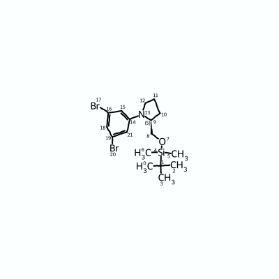 CC(C)(C)[Si](C)(C)OC[C@@H]1CCCN1c1cc(Br)cc(Br)c1